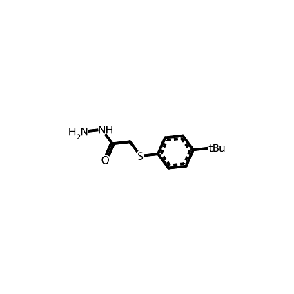 CC(C)(C)c1ccc(SCC(=O)NN)cc1